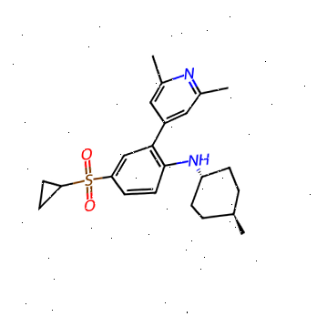 Cc1cc(-c2cc(S(=O)(=O)C3CC3)ccc2N[C@H]2CC[C@H](C)CC2)cc(C)n1